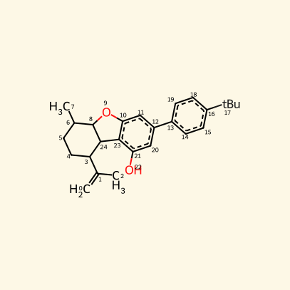 C=C(C)C1CCC(C)C2Oc3cc(-c4ccc(C(C)(C)C)cc4)cc(O)c3C12